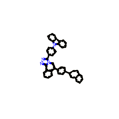 c1ccc2cc(-c3ccc(-c4cn5c(-c6ccc(-n7c8ccccc8c8ccccc87)cc6)nnc5c5ccccc45)cc3)ccc2c1